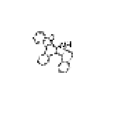 c1ccc2c(c1)ccc1[nH]c3c4oc5ccccc5c4c4ccccc4c3c12